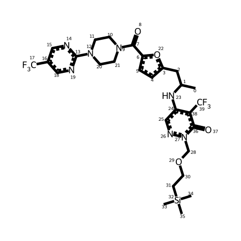 CC(Cc1ccc(C(=O)N2CCN(c3ncc(C(F)(F)F)cn3)CC2)o1)Nc1cnn(COCC[Si](C)(C)C)c(=O)c1C(F)(F)F